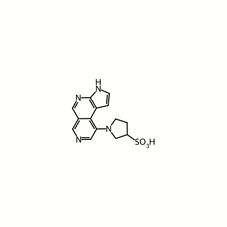 O=S(=O)(O)C1CCN(c2cncc3cnc4[nH]ccc4c23)C1